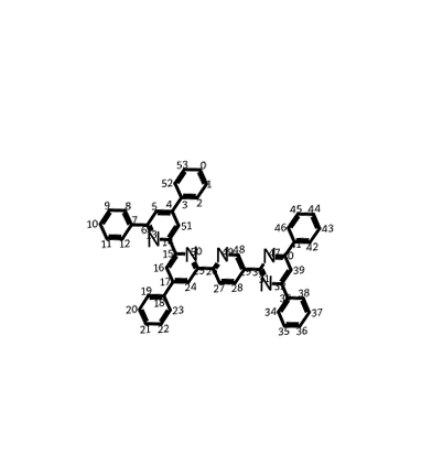 c1ccc(-c2cc(-c3ccccc3)nc(-c3cc(-c4ccccc4)cc(-c4ccc(-c5nc(-c6ccccc6)cc(-c6ccccc6)n5)cn4)n3)c2)cc1